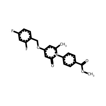 COC(=O)c1ccc(-n2c(C)cc(OCc3ccc(F)cc3F)cc2=O)cc1